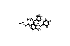 O=c1ccn(CCO)c(C(O)c2ccccn2)c1OCc1ccccc1